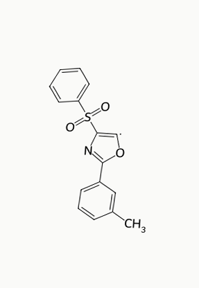 Cc1cccc(-c2nc(S(=O)(=O)c3ccccc3)[c]o2)c1